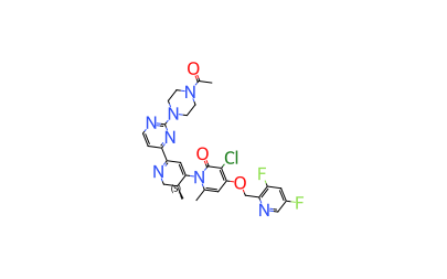 CC(=O)N1CCN(c2nccc(C3=NC[C@H](C)C(n4c(C)cc(OCc5ncc(F)cc5F)c(Cl)c4=O)=C3)n2)CC1